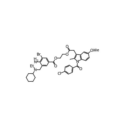 CCN(Cc1cc(C(=O)OCCOC(=O)Cc2c(C)n(C(=O)c3ccc(Cl)cc3)c3ccc(OC)cc23)cc(Br)c1N)C1CCCCC1